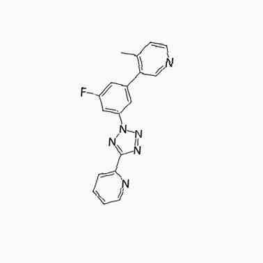 Cc1ccncc1-c1cc(F)cc(-n2nnc(-c3ccccn3)n2)c1